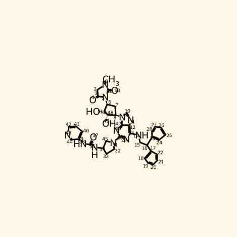 CN1CC(=O)N([C@H]2C[C@@H](n3cnc4c(NCC(c5ccccc5)c5ccccc5)nc(N5CCC(NC(=O)Nc6cccnc6)C5)nc43)[C@H](O)[C@@H]2O)C1=O